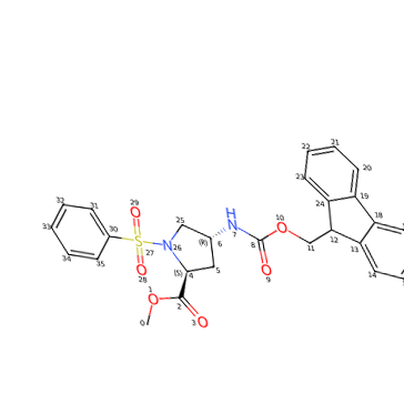 COC(=O)[C@@H]1C[C@@H](NC(=O)OCC2c3ccccc3-c3ccccc32)CN1S(=O)(=O)c1ccccc1